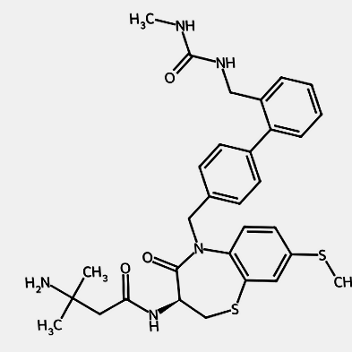 CNC(=O)NCc1ccccc1-c1ccc(CN2C(=O)[C@H](NC(=O)CC(C)(C)N)CSc3cc(SC)ccc32)cc1